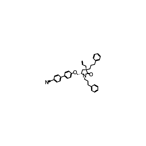 C=CC[C@]1(CCCc2ccccc2)C[C@@H](COc2ccc(-c3ccc(C#N)cc3)cc2)N(CCCc2ccccc2)C1=O